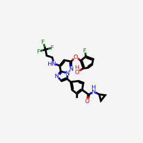 Cc1cc(-c2cnc3c(NCCC(F)(F)F)cc(Oc4c(O)cccc4F)nn23)ccc1C(=O)NC1CC1